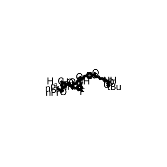 CCCN(CCC)C(=O)c1cc(C)cc(C(=O)NC(Cc2cc(F)cc(F)c2)C(O)CCNC(=O)CCC2CCN(C(=O)CCCCCNC(=O)OC(C)(C)C)CC2)c1